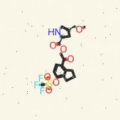 COC[C@@H]1CN[C@H](C(=O)OCC(=O)c2ccc(OS(=O)(=O)C(F)(F)F)c3c2CCC3)C1